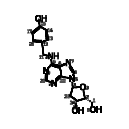 OC[C@H]1OC(n2cnc3c(NCc4ccc(O)cc4)ncnc32)C[C@@H]1O